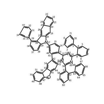 c1ccc(-c2ccccc2C2=NC(c3ccc(-n4c5cc6ccccc6cc5c5c(-c6ccccc6)cccc54)cc3-c3ccc4oc5ccccc5c4c3)NC(c3ccccc3-c3ccccc3)=N2)cc1